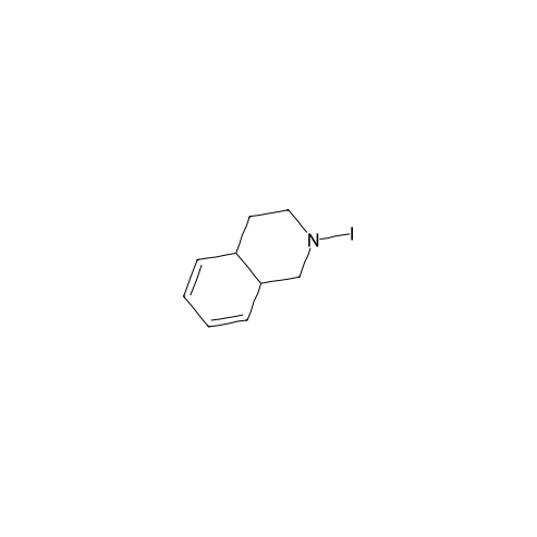 IN1CCC2C=CC=CC2C1